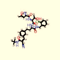 Cc1cc(C(=O)NC(C(=O)NC(CCc2cccc(C=C(C#N)C(=O)NC(C)(C)C)c2)C(=O)NCc2ccccc2Cl)C(C)O)no1